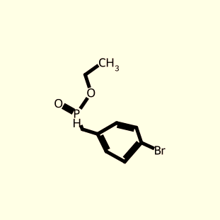 CCO[PH](=O)Cc1ccc(Br)cc1